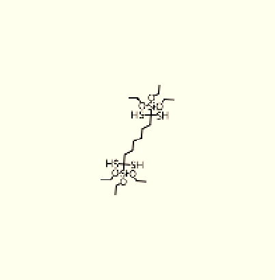 CCO[Si](OCC)(OCC)C(S)(S)CCCCCCC(S)(S)[Si](OCC)(OCC)OCC